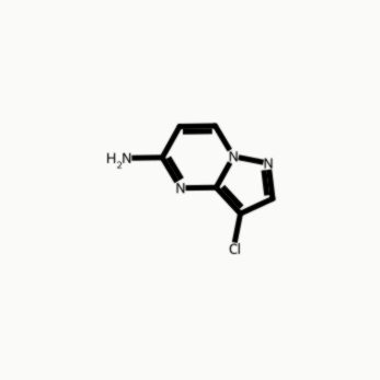 Nc1ccn2ncc(Cl)c2n1